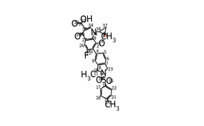 COc1c(-c2ccc3c(c2)C(C)N(S(=O)(=O)c2ccc(C)cc2)C3)c(F)cc2c(=O)c(C(=O)O)cn(C3CC3)c12